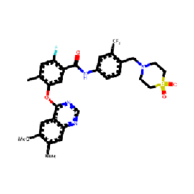 CNc1cc2ncnc(Oc3cc(C(=O)Nc4ccc(CN5CCS(=O)(=O)CC5)c(C(F)(F)F)c4)c(F)cc3C)c2cc1OC